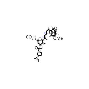 CO[C@H]([C@@H](C)[C@H]1O[C@]1(C)C[C@H](C)/C=C/C=C(\C)[C@H]1O[C@@H](CC(=O)O)C[C@@H](OC(=O)N2CCC(N(C)I)C2)[C@@H]1C)[C@@H](C)O